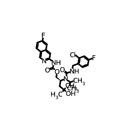 CC(C)N(C(=O)NCc1ccc(F)cc1Cl)[C@H](COC(=O)Nc1cc2cc(F)ccc2cn1)CC(C)(C)O